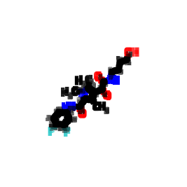 Cc1c(C(=O)C(=O)NCCCCO)c(C)n(C)c1C(=O)Nc1ccc(F)c(F)c1